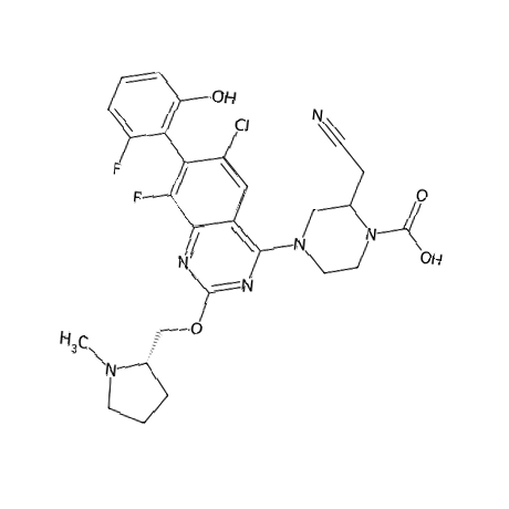 CN1CCC[C@H]1COc1nc(N2CCN(C(=O)O)C(CC#N)C2)c2cc(Cl)c(-c3c(O)cccc3F)c(F)c2n1